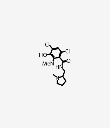 CNc1c(O)c(Cl)cc(Cl)c1C(=O)NCC1CCCN1C